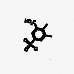 Cc1cc(S(=O)(=O)Cl)cc(C(=O)O)c1C